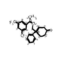 C[C@@H](OCC1(c2ccccc2)CCC(=O)CC1)c1cc(C(F)(F)F)cc(C(F)(F)F)c1